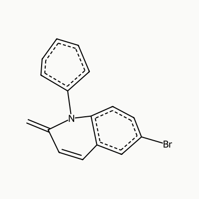 C=C1C=Cc2cc(Br)ccc2N1c1ccccc1